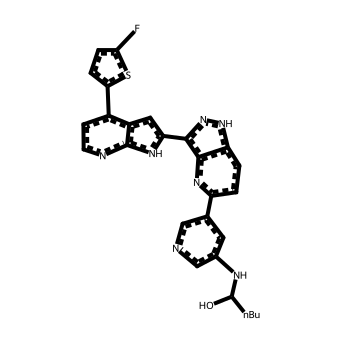 CCCCC(O)Nc1cncc(-c2ccc3[nH]nc(-c4cc5c(-c6ccc(F)s6)ccnc5[nH]4)c3n2)c1